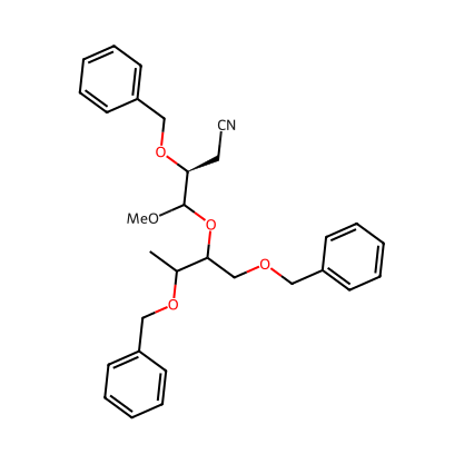 COC(OC(COCc1ccccc1)C(C)OCc1ccccc1)[C@H](CC#N)OCc1ccccc1